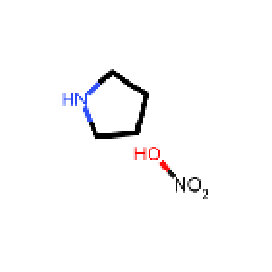 C1CCNC1.O=[N+]([O-])O